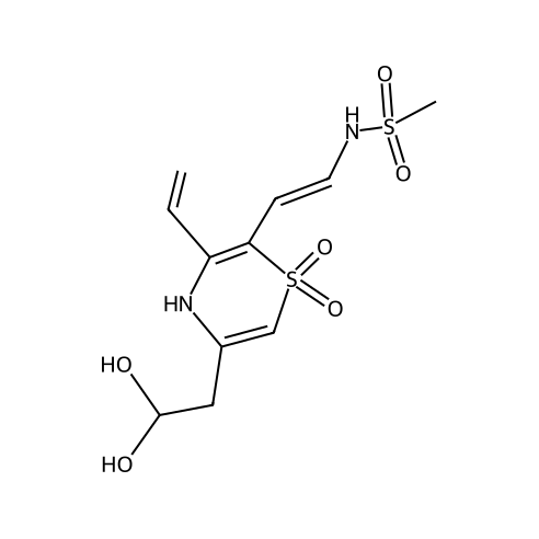 C=CC1=C(/C=C/NS(C)(=O)=O)S(=O)(=O)C=C(CC(O)O)N1